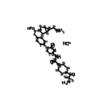 CCCC(Cc1ccc(-n2ccc(NC(=O)N3CCN(C(=O)C(C)(C)N)CC3)nc2=O)cc1)N1CC2C(CN)C2C1.Cl